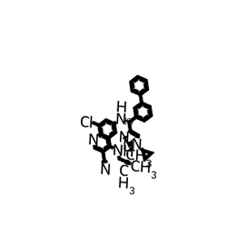 CC(C)(C)CNc1c(C#N)cnc2c(Cl)cc(N[C@@H](c3cccc(-c4ccccc4)c3)c3cn(C4CC4)nn3)cc12